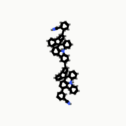 N#Cc1cccc(-c2ccc3c4c2c2ccccc2n4-c2ccccc2C32c3ccccc3-c3cc(-c4ccc5c(c4)c4cccc6c4n5-c4ccccc4C64c5ccccc5-c5cc(-c6ccccc6C#N)ccc54)ccc32)c1